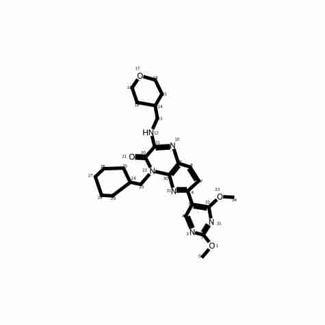 COc1ncc(-c2ccc3nc(NCC4CCOCC4)c(=O)n(CC4CCCCC4)c3n2)c(OC)n1